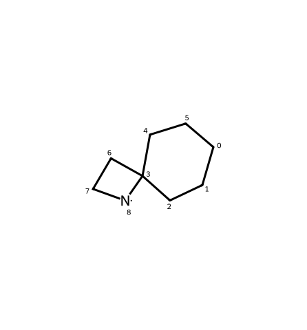 C1CCC2(CC1)CC[N]2